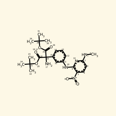 CNc1ccc([N+](=O)[O-])c(Nc2cccc(C(N)(C(=O)OC(C)(C)C)C(=O)OC(C)(C)C)c2)n1